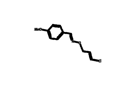 [CH2]Oc1ccc(/C=N/OC/C=C/Cl)cc1